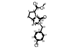 COC(=O)C1CCc2nn(Cc3ccc(Cl)cc3)c(=O)n21